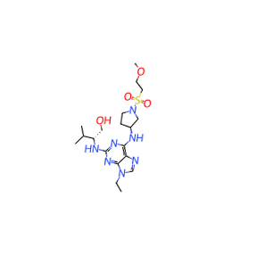 CCn1cnc2c(N[C@H]3CCN(S(=O)(=O)CCOC)C3)nc(N[C@@H](CO)C(C)C)nc21